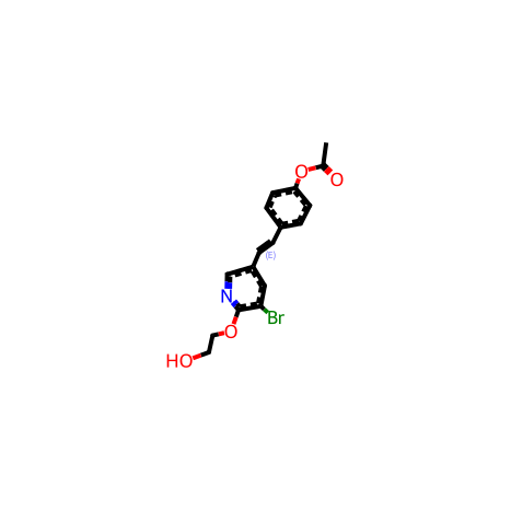 CC(=O)Oc1ccc(/C=C/c2cnc(OCCO)c(Br)c2)cc1